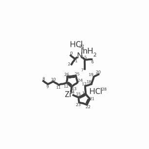 CC(C)[N]([InH2])C(C)C.CCCCC1=[C]([Zr][C]2=C(CCCC)C=CC2)CC=C1.Cl.Cl